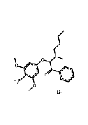 CCCCC(C)C(Oc1cc(OC)c(P)c(OC)c1)C(=O)c1ccccc1.[LiH]